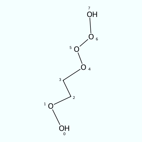 OOCCOOOO